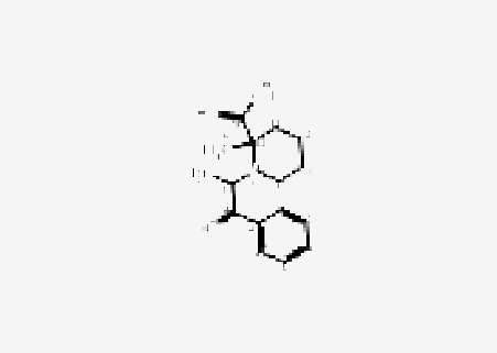 [CH2]C(C(=O)c1ccccc1)N1CCCCC1(C)C(=O)O